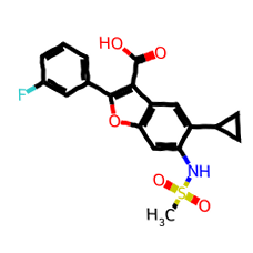 CS(=O)(=O)Nc1cc2oc(-c3cccc(F)c3)c(C(=O)O)c2cc1C1CC1